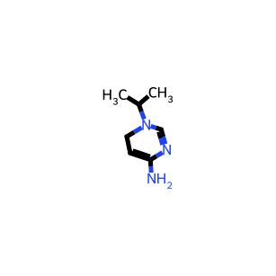 CC(C)N1C=NC(N)=CC1